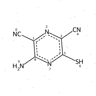 N#Cc1nc(C#N)c(S)nc1N